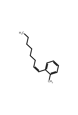 CCCCCC/C=[C]\c1ccccc1C